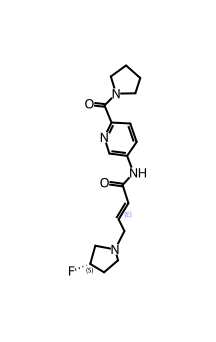 O=C(/C=C/CN1CC[C@H](F)C1)Nc1ccc(C(=O)N2CCCC2)nc1